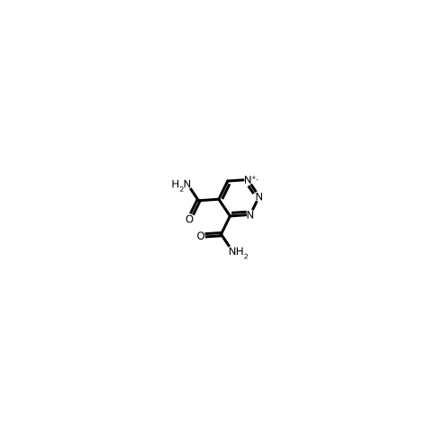 NC(=O)C1=C[N+]=NN=C1C(N)=O